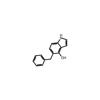 Oc1c(Cc2ccccc2)ccc2[nH]ccc12